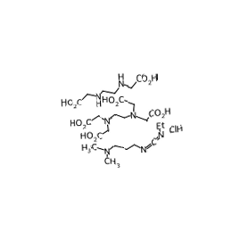 CCN=C=NCCCN(C)C.Cl.O=C(O)CN(CCN(CC(=O)O)CC(=O)O)CC(=O)O.O=C(O)CNCCNCC(=O)O